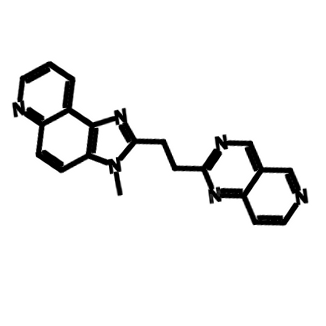 Cn1c(CCc2ncc3cnccc3n2)nc2c3cccnc3ccc21